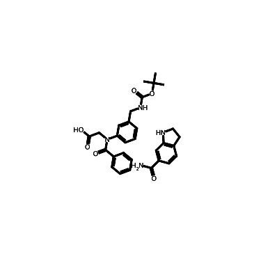 CC(C)(C)OC(=O)NCc1cccc(N(CC(=O)O)C(=O)c2ccccc2)c1.NC(=O)c1ccc2c(c1)NCC2